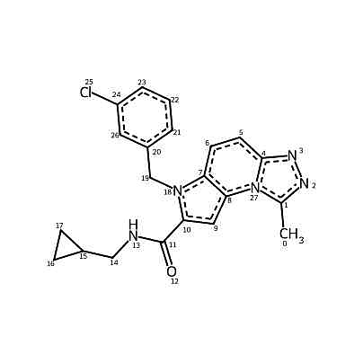 Cc1nnc2ccc3c(cc(C(=O)NCC4CC4)n3Cc3cccc(Cl)c3)n12